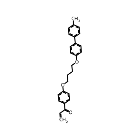 C=CC(=O)c1ccc(OCCCCOc2ccc(-c3ccc(C)cc3)cc2)cc1